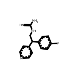 N=C(N)N[CH]C(c1ccncc1)c1ccc(F)cc1